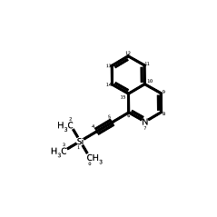 C[Si](C)(C)C#Cc1nccc2ccccc12